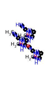 C=CC(=O)Nc1cc(-c2cccc3cnc(Nc4ccc(N5CCN(C)CC5)cc4)nc23)ccn1.C=CC(=O)Nc1cc(-c2cccc3cnc(Nc4ccc(N5CCNCC5)cc4)nc23)ccn1.C=CC(=O)Nc1cc(-c2cccc3cnc(Nc4ccc(N5CCOCC5)cc4)nc23)ccn1